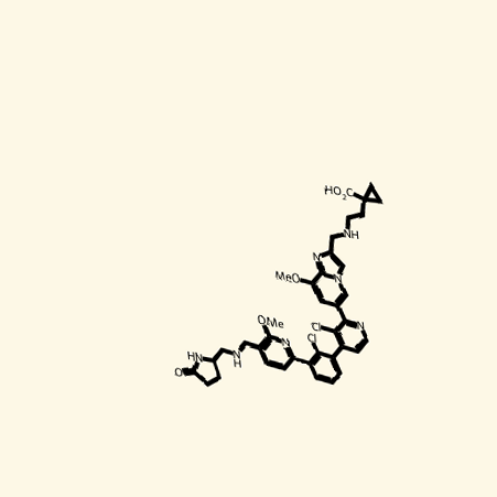 COc1nc(-c2cccc(-c3ccnc(-c4cc(OC)c5nc(CNCCC6(C(=O)O)CC6)cn5c4)c3Cl)c2Cl)ccc1CNCC1CCC(=O)N1